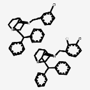 Clc1cccc(C/N=C2\C3CCN(CC3)C2C(c2ccccc2)c2ccccc2)c1.Clc1cccc(C/N=C2\C3CCN(CC3)C2C(c2ccccc2)c2ccccc2)c1Cl